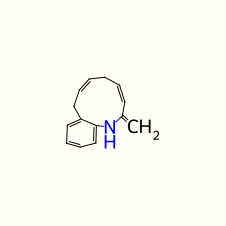 C=C1/C=C\CC=CCc2ccccc2N1